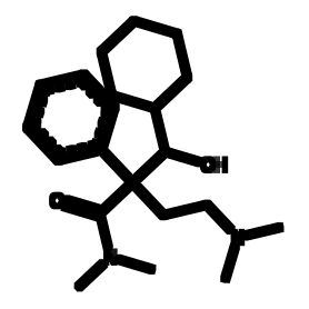 CN(C)CCC(C(=O)N(C)C)(c1ccccc1)C(O)C1CCCCC1